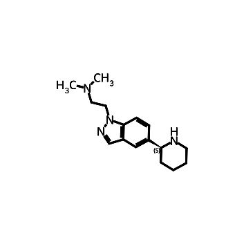 CN(C)CCn1ncc2cc([C@@H]3CCCCN3)ccc21